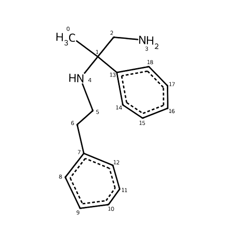 CC(CN)(NCCc1ccccc1)c1ccccc1